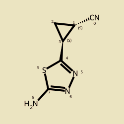 N#C[C@H]1C[C@@H]1c1nnc(N)s1